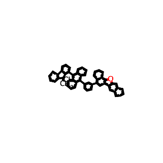 CC1(C)c2ccccc2-c2cccc(-c3c4ccccc4c(-c4cccc(-c5cc6c7cc8ccccc8cc7oc6c6ccccc56)c4)c4ccccc34)c21